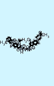 CCn1cc(-c2nnc(NC(=O)Nc3cn(C4CC4)c4c(OC)c(N5CC6CCCN(C)C6C5)c(F)cc4c3=O)o2)c(=O)c2cc(F)c(N3CCN(C(C)=O)CC3)cc21